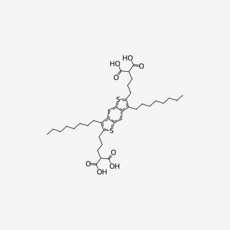 CCCCCCCCc1c(CCCC(C(=O)O)C(=O)O)sc2cc3c(CCCCCCCC)c(CCCC(C(=O)O)C(=O)O)sc3cc12